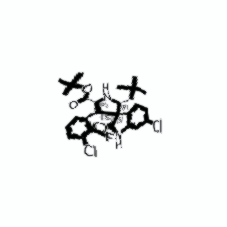 CC(C)(C)C[C@H]1N[C@@H](C(=O)OC(C)(C)C)[C@H](c2cccc(Cl)c2F)[C@@]12C(=O)Nc1cc(Cl)ccc12